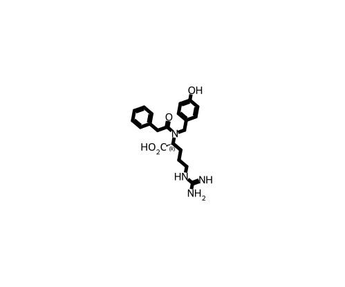 N=C(N)NCCC[C@H](C(=O)O)N(Cc1ccc(O)cc1)C(=O)Cc1ccccc1